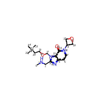 CNCc1nc2ccn(C3COC3)c(=O)c2n1COCC[Si](C)(C)C